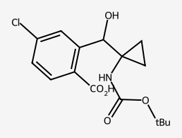 CC(C)(C)OC(=O)NC1(C(O)c2cc(Cl)ccc2C(=O)O)CC1